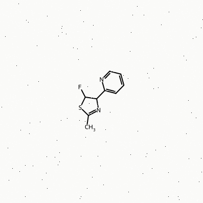 CC1=NC(c2ccccn2)C(F)S1